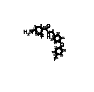 Nc1ccc(C(=O)NCc2ccc(Oc3ccc(F)cc3)cc2)c(F)n1